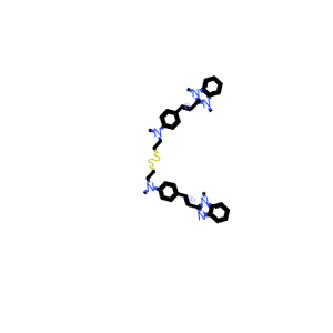 CN(CCSSCCN(C)c1ccc(/C=C/c2n(C)c3ccccc3[n+]2C)cc1)c1ccc(/C=C/c2nc3ccccc3n2C)cc1